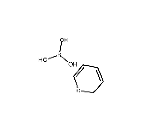 C1=CCOC=C1.OB(O)O